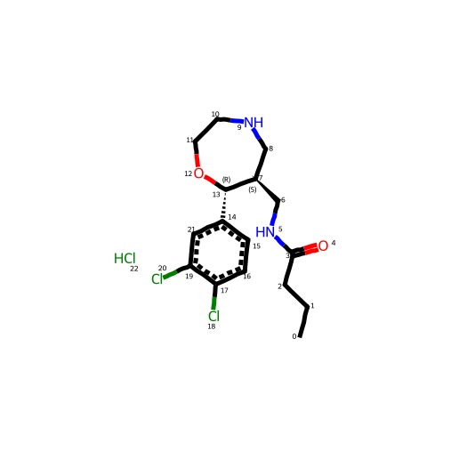 CCCC(=O)NC[C@@H]1CNCCO[C@H]1c1ccc(Cl)c(Cl)c1.Cl